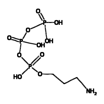 NCCCOP(=O)(O)OP(=O)(O)OP(=O)(O)O